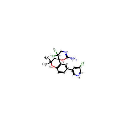 CC1(C)C[C@@]2(OC(N)=NCC2(F)F)c2cc(-c3cncc(Cl)c3)ccc2O1